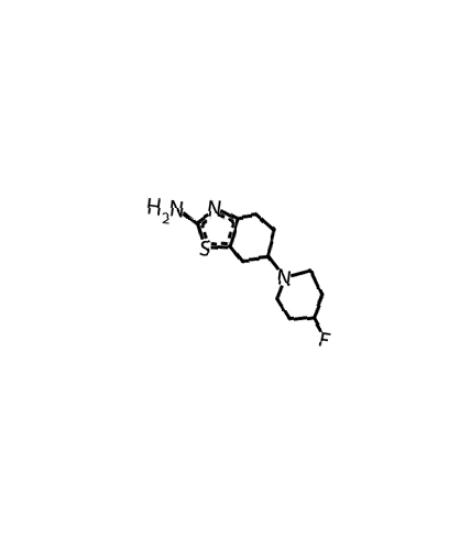 Nc1nc2c(s1)CC(N1CCC(F)CC1)CC2